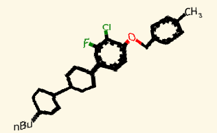 CCCCC1CCC(C2CCC(c3ccc(OCc4ccc(C)cc4)c(Cl)c3F)CC2)CC1